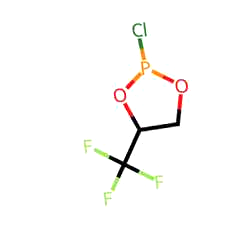 FC(F)(F)C1COP(Cl)O1